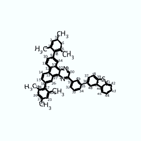 CC1=CC(C)CC(C)=C1c1ccc2c3ccc(-c4c(C)cc(C)cc4C)cc3c3nc(-c4cccc(-c5ccc6sc7ccccc7c6c5)c4)cnc3c2c1